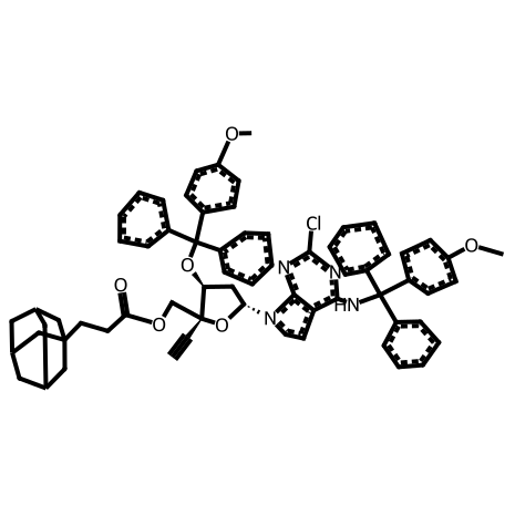 C#C[C@]1(COC(=O)CCC23CC4CC(CC(C4)C2)C3)O[C@@H](n2ccc3c(NC(c4ccccc4)(c4ccccc4)c4ccc(OC)cc4)nc(Cl)nc32)C[C@@H]1OC(c1ccccc1)(c1ccccc1)c1ccc(OC)cc1